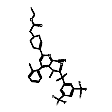 CCOC(=O)CC1CC=C(c2cc(-c3ccccc3C)c(N(C)C(=O)C(C)(C)c3cc(C(F)(F)F)cc(C(F)(F)F)c3)c(C#N)n2)CC1